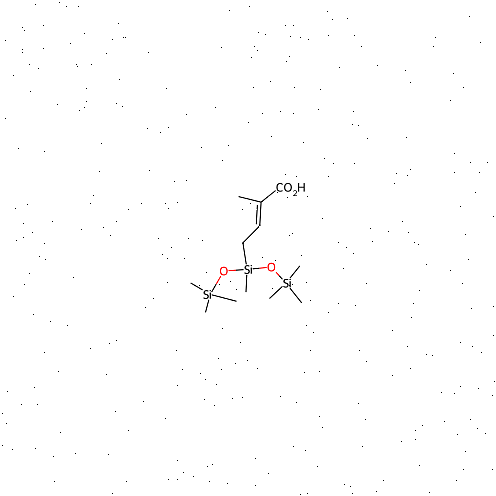 CC(=CC[Si](C)(O[Si](C)(C)C)O[Si](C)(C)C)C(=O)O